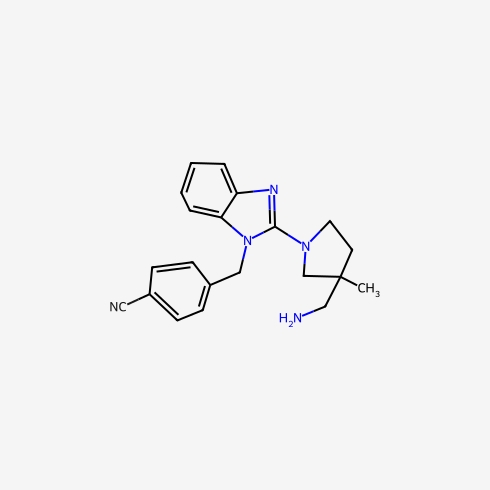 CC1(CN)CCN(c2nc3ccccc3n2Cc2ccc(C#N)cc2)C1